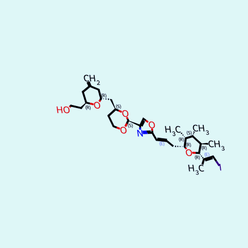 C=C1C[C@H](C[C@@H]2CCO[C@H](c3coc(/C=C/C[C@H]4O[C@@H](/C(C)=C/I)[C@H](C)[C@@H](C)[C@H]4C)n3)O2)O[C@@H](CCO)C1